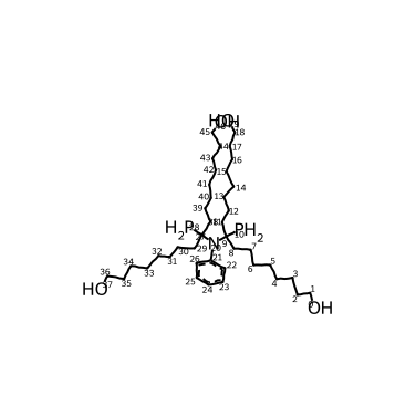 OCCCCCCCCC(P)(CCCCCCCCO)N(c1ccccc1)C(P)(CCCCCCCCO)CCCCCCCCO